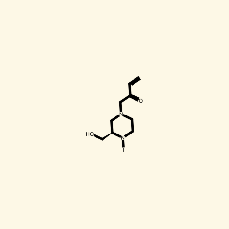 C=CC(=O)CN1CCN(I)[C@@H](CO)C1